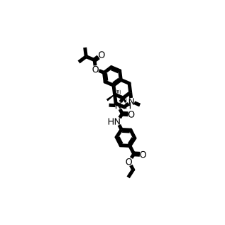 CCOC(=O)c1ccc(NC(=O)N(C)[C@H]2C3Cc4ccc(OC(=O)C(C)C)cc4[C@@]2(C)CCN3C)cc1